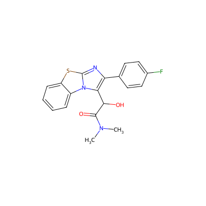 CN(C)C(=O)C(O)c1c(-c2ccc(F)cc2)nc2sc3ccccc3n12